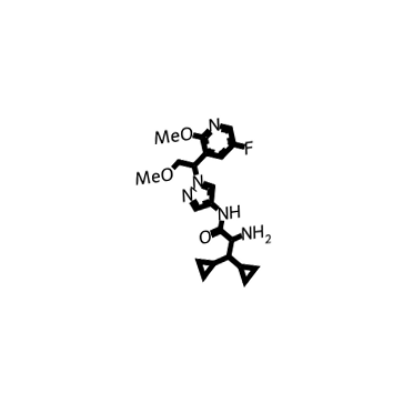 COCC(c1cc(F)cnc1OC)n1cc(NC(=O)C(N)C(C2CC2)C2CC2)cn1